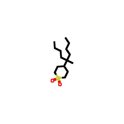 CCCCC(C)(CCCC)C1CCS(=O)(=O)CC1